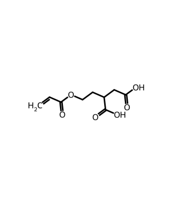 C=CC(=O)OCCC(CC(=O)O)C(=O)O